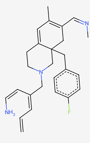 C=C/C=C(\C=C/N)CN1CCC2=CC(C)=C(/C=N\C)CC2(Cc2ccc(F)cc2)C1